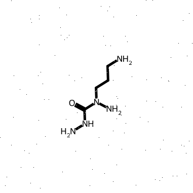 NCCCN(N)C(=O)NN